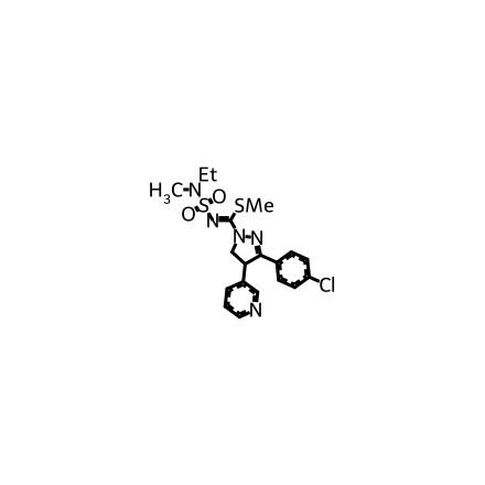 CCN(C)S(=O)(=O)N=C(SC)N1CC(c2cccnc2)C(c2ccc(Cl)cc2)=N1